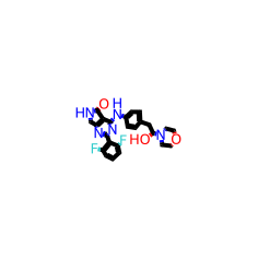 O=C1NCc2nc(-c3c(F)cccc3F)nc(Nc3ccc(CC(O)N4CCOCC4)cc3)c21